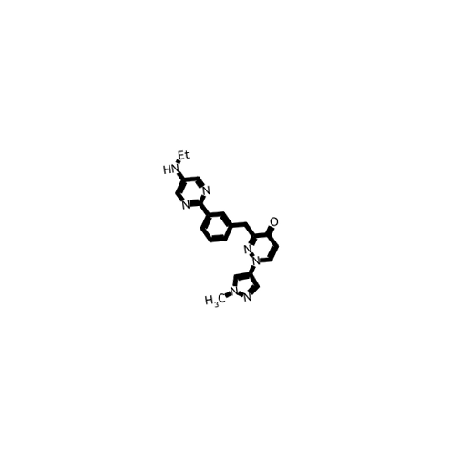 CCNc1cnc(-c2cccc(Cc3nn(-c4cnn(C)c4)ccc3=O)c2)nc1